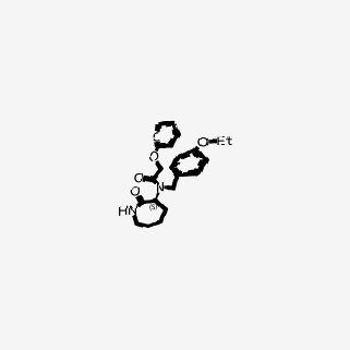 CCOc1ccc(CN(C(=O)COc2ccccc2)[C@H]2CCCCNC2=O)cc1